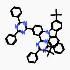 CC(C)(C)c1ccc2c3ccc(C(C)(C)C)cc3n(-c3ccc(-c4nc(-c5ccccc5)nc(-c5ccccc5)n4)cc3-c3nc(-c4ccccc4)nc(-c4ccccc4)n3)c2c1